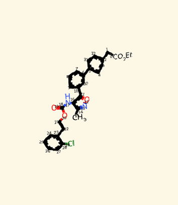 CCOC(=O)Cc1ccc(-c2cccc(-c3onc(C)c3NC(=O)OCCc3ccccc3Cl)c2)cc1